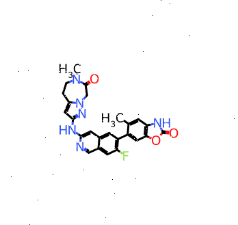 Cc1cc2[nH]c(=O)oc2cc1-c1cc2cc(Nc3cc4n(n3)CC(=O)N(C)CC4)ncc2cc1F